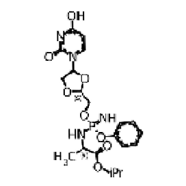 CC(C)OC(=O)[C@@H](C)NP(=N)(OC[C@H]1OCC(n2ccc(O)nc2=O)O1)Oc1ccccc1